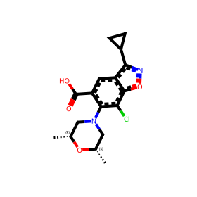 C[C@@H]1CN(c2c(C(=O)O)cc3c(C4CC4)noc3c2Cl)C[C@H](C)O1